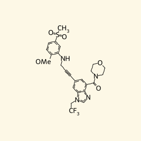 COc1ccc(S(C)(=O)=O)cc1NCC#Cc1cc(C(=O)N2CCOCC2)c2ncn(CC(F)(F)F)c2c1